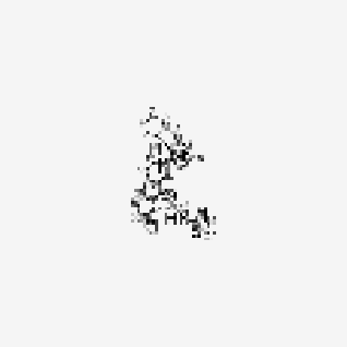 CNC[C@H](CC1CCCCC1)NC(=O)N1CCC[C@@H](C(OCCNc2nccs2)c2cccc(Cl)c2)C1